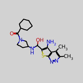 Cc1nnc2sc(C(O)NC3CCN(C(=O)C4CCCCC4)C3)c(N)c2c1C